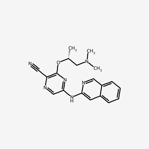 C[C@H](CN(C)C)Oc1nc(Nc2cc3ccccc3cn2)cnc1C#N